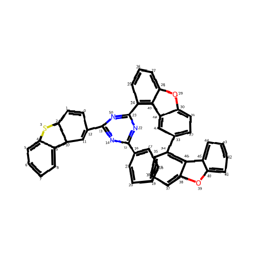 C1=CC2Sc3ccccc3C2C=C1c1nc(-c2ccccc2)nc(-c2cccc3oc4ccc(-c5cccc6oc7ccccc7c56)cc4c23)n1